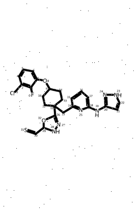 Fc1c(Cl)cccc1OC1CCC(Cc2cccc(Nc3cc[nH]n3)n2)(C2=NNC(C=S)O2)CC1